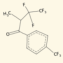 CC(C(=O)c1ccc(C(F)(F)F)cc1)C(F)(F)C(F)(F)F